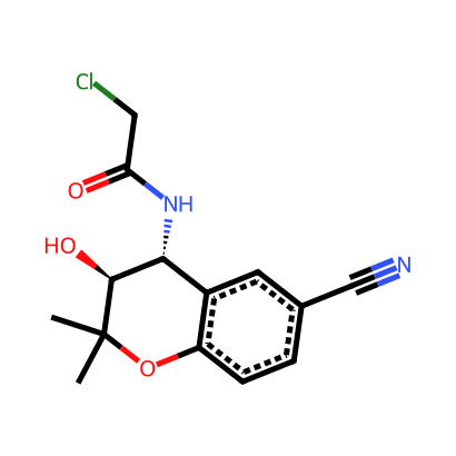 CC1(C)Oc2ccc(C#N)cc2[C@@H](NC(=O)CCl)[C@@H]1O